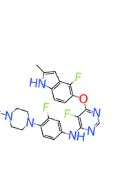 CCN1CCN(c2ccc(Nc3ncnc(Oc4ccc5[nH]c(C)cc5c4F)c3F)cc2F)CC1